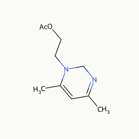 CC(=O)OCCN1CN=C(C)C=C1C